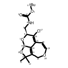 CC(C)(C)OC(=O)NC[C@@H]1OB2OC(C)(C)C3=C2C(=C1Cl)C=COC3